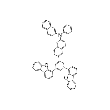 c1ccc(N(c2ccc3ccccc3c2)c2ccc3cc(-c4cc(-c5cccc6c5oc5ccccc56)cc(-c5cccc6c5oc5ccccc56)c4)ccc3c2)cc1